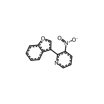 O=[N+]([O-])c1cccnc1-c1coc2ccccc12